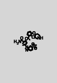 C[C@@H](Oc1cc(-n2cnc3ccc(S(C)(=O)=O)cc32)sc1C(N)=O)c1cccc(OC2CCNCC2)c1Cl